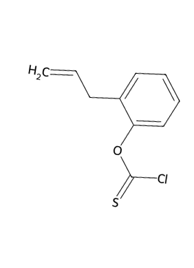 C=CCc1ccccc1OC(=S)Cl